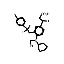 CCC(CC(=O)O)c1ccc(N(CC(C)C)C2CCCCC2)c(CC(F)(F)c2ccc(C)cc2)c1